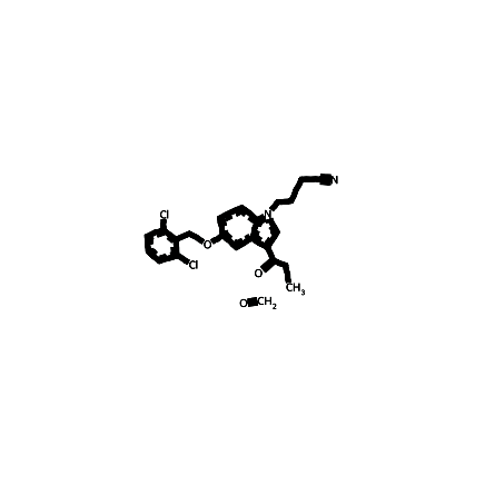 C=O.CCC(=O)c1cn(CCCC#N)c2ccc(OCc3c(Cl)cccc3Cl)cc12